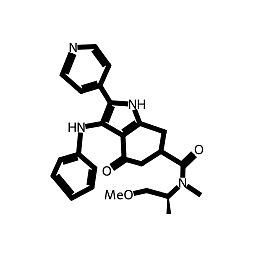 COC[C@H](C)N(C)C(=O)C1CC(=O)c2c([nH]c(-c3ccncc3)c2Nc2ccccc2)C1